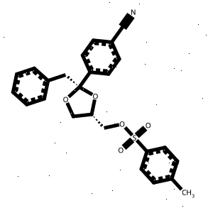 Cc1ccc(S(=O)(=O)OC[C@@H]2CO[C@@](Cc3ccccc3)(c3ccc(C#N)cc3)O2)cc1